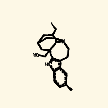 CCC1CC2CN3CCc4c([nH]c5ccc(C)cc45)C(CO)(C2)C13